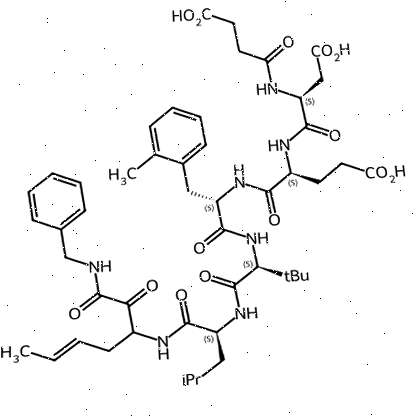 CC=CCC(NC(=O)[C@H](CC(C)C)NC(=O)[C@@H](NC(=O)[C@H](Cc1ccccc1C)NC(=O)[C@H](CCC(=O)O)NC(=O)[C@H](CC(=O)O)NC(=O)CCC(=O)O)C(C)(C)C)C(=O)C(=O)NCc1ccccc1